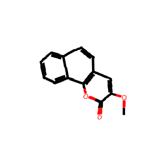 COc1cc2ccc3ccccc3c2oc1=O